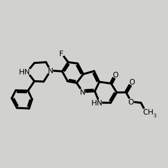 CCOC(=O)c1c[nH]c2nc3cc(N4CCNC(c5ccccc5)C4)c(F)cc3cc2c1=O